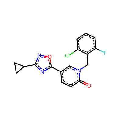 O=c1ccc(-c2nc(C3CC3)no2)cn1Cc1c(F)cccc1Cl